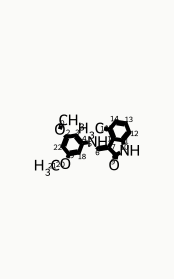 COc1cc(N/C=C2/C(=O)Nc3cccc(C)c32)cc(OC)c1